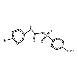 COc1ccc(S(=O)(=O)NC(=O)Nc2ccc(Br)cc2)cc1